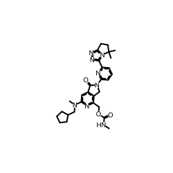 CNC(=O)OCc1nc(N(C)CC2CCCC2)cc2c1CN(c1cccc(-c3nnc4n3C(C)(C)CC4)n1)C2=O